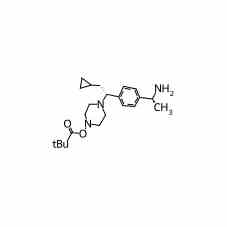 C[C@H](N)c1ccc([C@@H](CC2CC2)N2CCN(OC(=O)C(C)(C)C)CC2)cc1